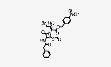 O=CSC1C(NC(=O)Cc2ccccc2)C(=O)N1/C(C(=O)OCc1ccc([N+](=O)[O-])cc1)=C(/O)CBr